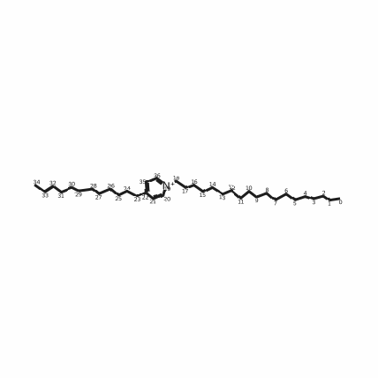 CCCCCCCCCCCCCCCCCCC[n+]1ccc(CCCCCCCCCCCC)cc1